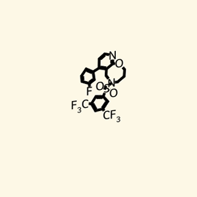 O=S(=O)(c1cc(C(F)(F)F)cc(C(F)(F)F)c1)N1CCCOc2nccc(-c3cccc(F)c3)c2C1